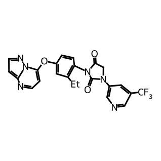 CCc1cc(Oc2ccnc3ccnn23)ccc1N1C(=O)CN(c2cncc(C(F)(F)F)c2)C1=O